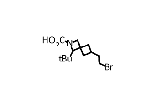 CC(C)(C)C1N(C(=O)O)CC12CC(CCBr)C2